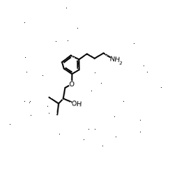 CC(C)C(O)COc1cccc(CCCN)c1